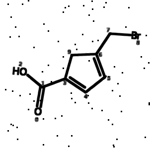 O=C(O)C1=CC=C(CBr)C1